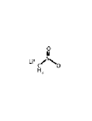 CS(=O)[O-].[Li+]